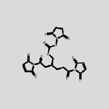 O=C(OCC(CCC(=O)N1C(=O)C=CC1=O)CC(=O)N1C(=O)C=CC1=O)ON1C(=O)CCC1=O